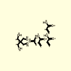 C=CC(=O)O.C=CC(=O)O.C=CC(=O)O.CC(C)=O.OCC(CO)(CO)CO